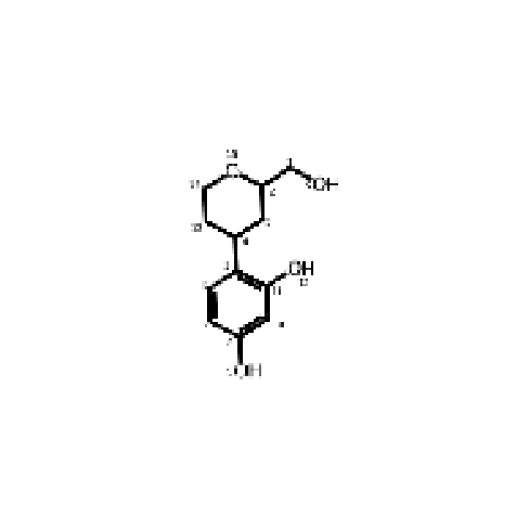 OCC1CC(c2ccc(O)cc2O)CCO1